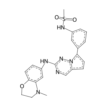 CN1CCOc2ccc(Nc3ncc4ccc(-c5cccc(NS(C)(=O)=O)c5)n4n3)cc21